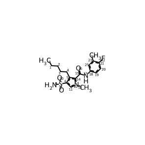 CCCCCc1c(S(N)(=O)=O)cn(C)c1C(=O)Nc1ccc(F)c(C)c1